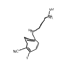 N#Cc1cc(NCCNS)ccc1F